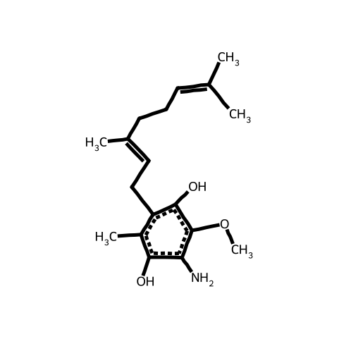 COc1c(N)c(O)c(C)c(C/C=C(\C)CCC=C(C)C)c1O